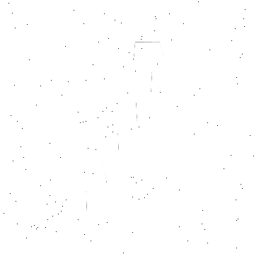 CCCCCCCCOC1=NCCO1